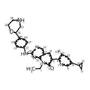 CCn1c(=O)c(-c2ncc(C3CC3)cc2F)cc2cnc(Nc3ccc(C4CNCCO4)cc3)nc21